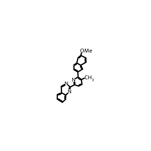 COc1ccc2cc(-c3nc(-c4ncc5ccccc5n4)ccc3C)ccc2c1